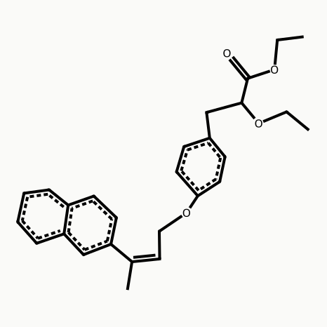 CCOC(=O)C(Cc1ccc(OC/C=C(/C)c2ccc3ccccc3c2)cc1)OCC